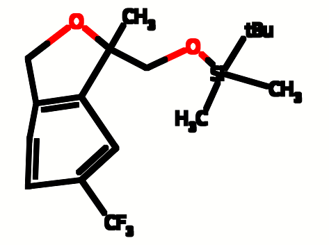 CC1(CO[Si](C)(C)C(C)(C)C)OCc2ccc(C(F)(F)F)cc21